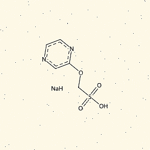 O=S(=O)(O)COc1cnccn1.[NaH]